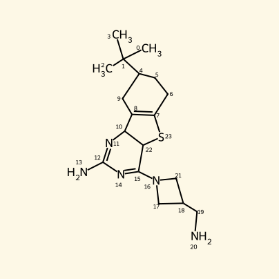 CC(C)(C)C1CCC2=C(C1)C1N=C(N)N=C(N3CC(CN)C3)C1S2